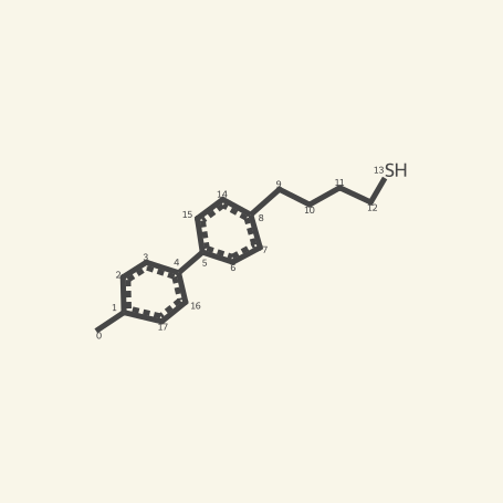 Cc1ccc(-c2ccc(CCCCS)cc2)cc1